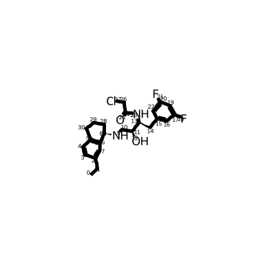 CCc1ccc2c(c1)[C@@H](NC[C@H](O)[C@H](Cc1cc(F)cc(F)c1)NC(=O)CCl)CCC2